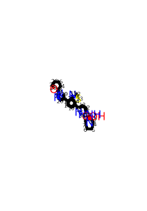 O=C(O)N1C2CCC1CC(Nc1ccc(-c3ccc(-c4cnn(C5CCCCO5)c4)c4ncsc34)nn1)C2